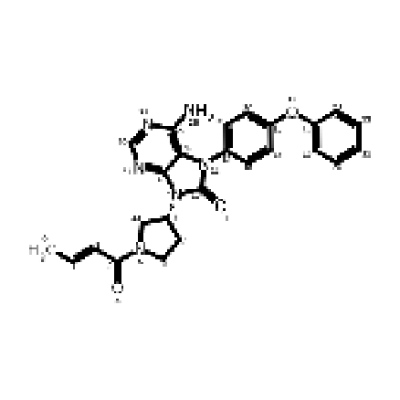 CC=CC(=O)N1CC[C@@H](n2c(=O)n(-c3ccc(Oc4ccccc4)cc3)c3c(N)ncnc32)C1